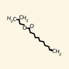 C=CCCCCCCCCC(=O)OCCC(C)C